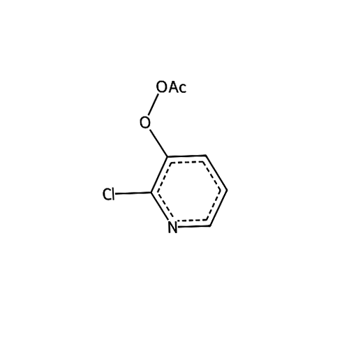 CC(=O)OOc1cccnc1Cl